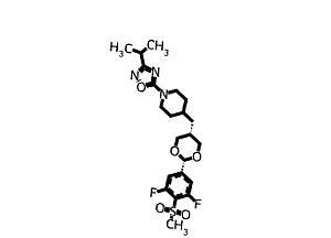 CC(C)c1noc(N2CCC(C[C@H]3CO[C@@H](c4cc(F)c(S(C)(=O)=O)c(F)c4)OC3)CC2)n1